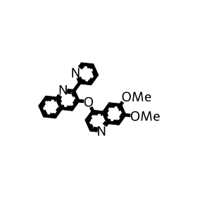 COc1cc2nccc(Oc3cc4ccccc4nc3-c3ccccn3)c2cc1OC